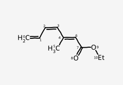 C=C/C=C\C(C)=C\C(=O)OCC